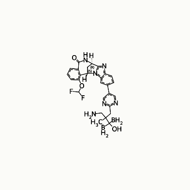 BC(B)(O)C(C)(CN)Cc1ncc(-c2ccc3nc4n(c3c2)[C@H]2C[C@H]4NC(=O)c3cccc(OC(F)F)c32)cn1